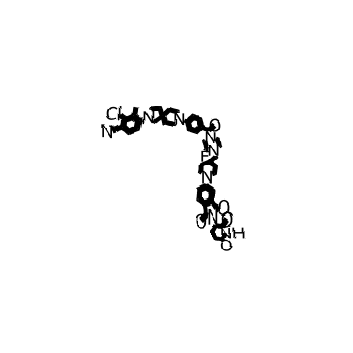 Cc1c(N2CCC3(CCN(c4ccc(C(=O)N5CCN(CC6(F)CCN(c7ccc8c(c7)C(=O)N(C7CCC(=O)NC7=O)C8=O)CC6)CC5)cc4)CC3)C2)ccc(C#N)c1Cl